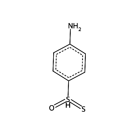 Nc1ccc([SH](=O)=S)cc1